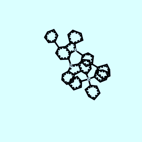 c1ccc(-c2ccc(-n3c4ccccc4c4c(-c5ccccc5)ccc(-n5c6ccccc6c6c([Si](c7ccccc7)(c7ccccc7)c7ccccc7)cccc65)c43)cc2)cc1